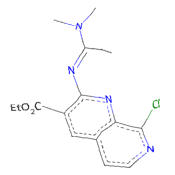 CCOC(=O)c1cc2ccnc(Cl)c2nc1/N=C(\C)N(C)C